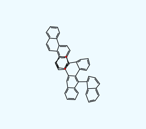 c1ccc(-c2cc3ccccc3c(-c3cccc4ccccc34)c2-c2ccccc2-c2cccc3c2ccc2c4ccccc4ccc32)cc1